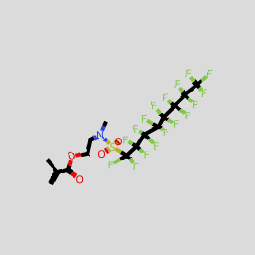 C=C(C)C(=O)OCCN(C)S(=O)(=O)C(F)(F)C(F)(F)C(F)(F)C(F)(F)C(F)(F)C(F)(F)C(F)(F)C(F)(F)F